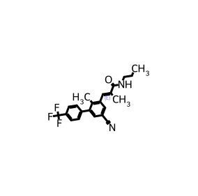 CCCNC(=O)/C(C)=C/c1cc(C#N)cc(-c2ccc(C(F)(F)F)cc2)c1C